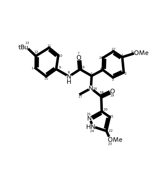 COc1ccc(C(C(=O)Nc2ccc(C(C)(C)C)cc2)N(C)C(=O)c2cc(OC)[nH]n2)cc1